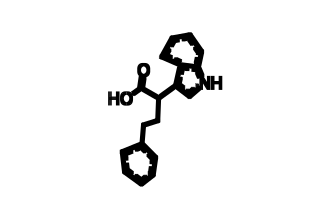 O=C(O)C(CCc1ccccc1)c1c[nH]c2ccccc12